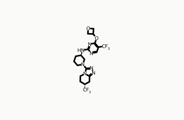 FC(F)(F)c1cnc(N[C@@H]2CCCN(c3nnc4n3CC[C@@H](C(F)(F)F)C4)C2)nc1OC1COC1